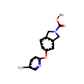 CC(C)(C)OC(=O)N1Cc2ccc(Oc3ccc([N+](=O)[O-])cn3)cc2C1